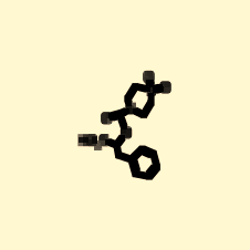 O=C(O)C(Cc1ccccc1)OC(=O)N1CCS(=O)(=O)CC1